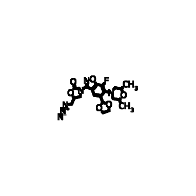 CC1CN(c2c(C3OCCO3)cc3c(N4CC(CN=[N+]=[N-])OC4=O)noc3c2F)CC(C)O1